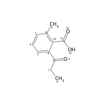 CCC(=O)c1cccc(C)c1C(=O)O